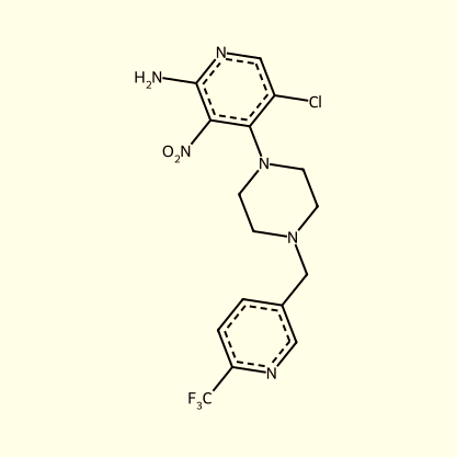 Nc1ncc(Cl)c(N2CCN(Cc3ccc(C(F)(F)F)nc3)CC2)c1[N+](=O)[O-]